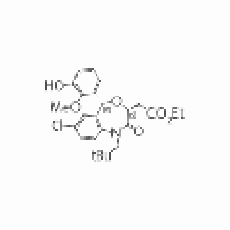 CCOC(=O)C[C@@H]1O[C@@H](c2cccc(O)c2OC)c2cc(Cl)ccc2N(CC(C)(C)C)C1=O